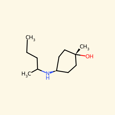 CCCC(C)N[C@H]1CC[C@](C)(O)CC1